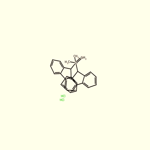 Cl.Cl.[CH3][Zr]([CH3])(=[SiH2])([CH]1c2ccccc2-c2ccccc21)[CH]1c2ccccc2-c2ccccc21